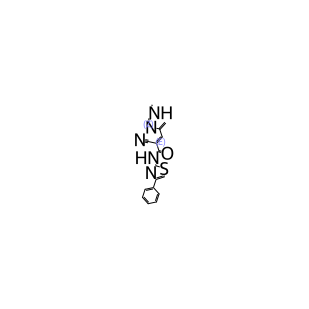 C=C(/C=C(\C#N)C(=O)Nc1nc(-c2ccccc2)cs1)/N=C\NC